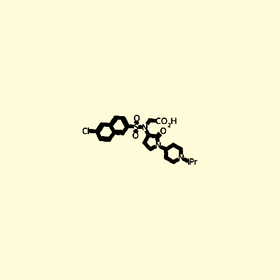 CC(C)N1CCC(N2CCC(N(CC(=O)O)S(=O)(=O)c3ccc4cc(Cl)ccc4c3)C2=O)CC1